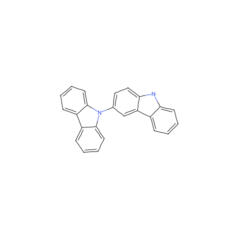 c1ccc2c(c1)[N]c1ccc(-n3c4ccccc4c4ccccc43)cc1-2